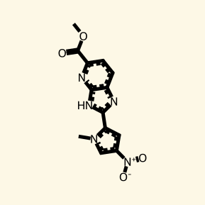 COC(=O)c1ccc2nc(-c3cc([N+](=O)[O-])cn3C)[nH]c2n1